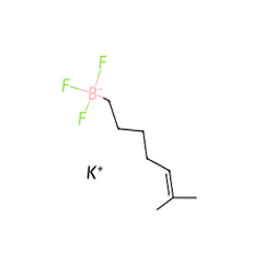 CC(C)=CCCCC[B-](F)(F)F.[K+]